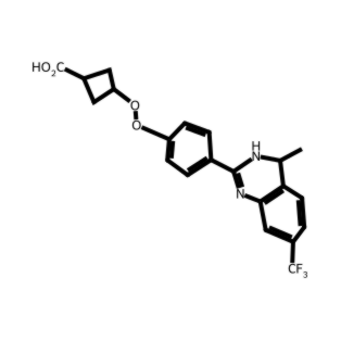 CC1NC(c2ccc(OOC3CC(C(=O)O)C3)cc2)=Nc2cc(C(F)(F)F)ccc21